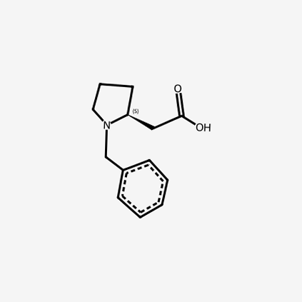 O=C(O)C[C@@H]1CCCN1Cc1ccccc1